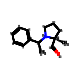 C[C@@H](c1ccccc1)N1CCC[C@@]1(C)C=O